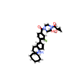 O=C(c1ccc(-c2ccc3c(c2)CCC2(CCCCCCC2)N3)c(F)c1)N1CCN(C(=O)C2(O)CC2)CC1